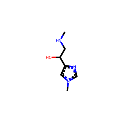 CNCC(O)c1cn(C)cn1